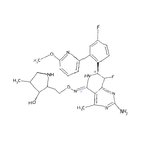 COc1cccc(-c2cc(F)ccc2[C@@H]2N/C(=N\OCC3NCC(C)C3O)c3c(C)nc(N)nc3C2F)n1